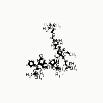 CCOP(=O)(OCC)C(COCC[Si](C)(C)C)(COCC1=NN(COCC[Si](C)(C)C)NN1)OC[C@H]1O[C@@H](n2ncc3c(N(C(=O)OC(C)(C)C)C4CCCC4)nc(Cl)nc32)[C@@H]2OC(C)(C)O[C@@H]21